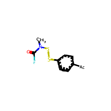 CC(=O)c1ccc(SSN(C)C(=O)F)cc1